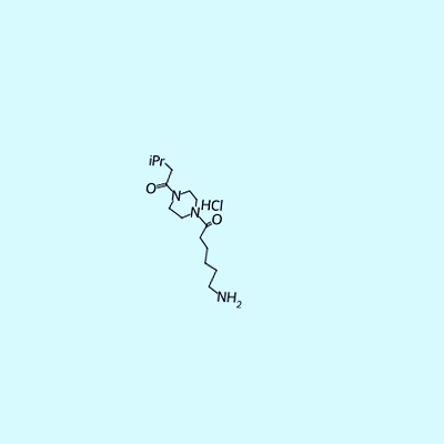 CC(C)CC(=O)N1CCN(C(=O)CCCCCN)CC1.Cl